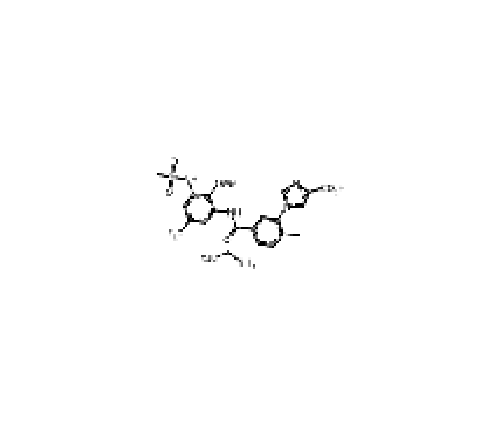 CC(C)(C)CN.COc1c(NC(=O)c2ccc(C)c(-n3cnc(C(=O)O)c3)c2)cc(C(F)(F)F)cc1NS(C)(=O)=O